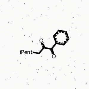 CCCC(C)CC(=O)C(=O)c1ccccc1